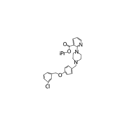 CC(C)OC(=O)c1cccnc1N1CCN(Cc2ccc(OCc3cccc(Cl)c3)cc2)CC1